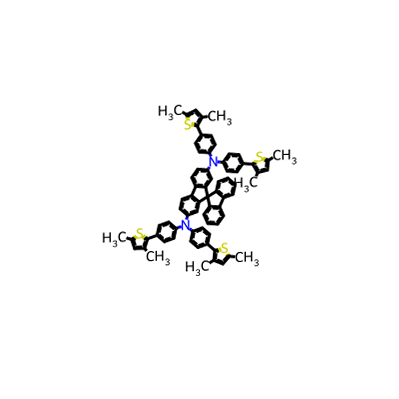 Cc1cc(C)c(-c2ccc(N(c3ccc(-c4sc(C)cc4C)cc3)c3ccc4c(c3)C3(c5ccccc5-c5ccccc53)c3cc(N(c5ccc(-c6sc(C)cc6C)cc5)c5ccc(-c6sc(C)cc6C)cc5)ccc3-4)cc2)s1